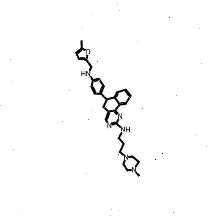 Cc1ccc(CNc2ccc(C3Cc4cnc(NCCCN5CCN(C)CC5)nc4-c4ccccc43)cc2)o1